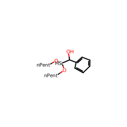 CCCCCO[SiH](OCCCCC)C(O)c1ccccc1